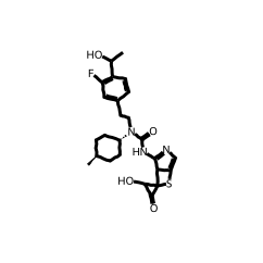 CC(O)c1ccc(CCN(C(=O)NC2=NC=C3SC4(C(=O)C4O)C32)[C@H]2CC[C@H](C)CC2)cc1F